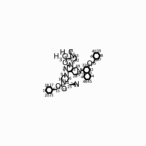 C[C@@H](Oc1nc2c(c(N3CCN(C(=O)OCc4ccccc4)[C@@H](CC#N)C3)n1)CCN(c1cc(OCc3ccccc3)cc3ccccc13)C2)[C@H]1CCCN1C